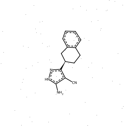 N#Cc1c([C@@H]2CCc3ccccc3C2)n[nH]c1N